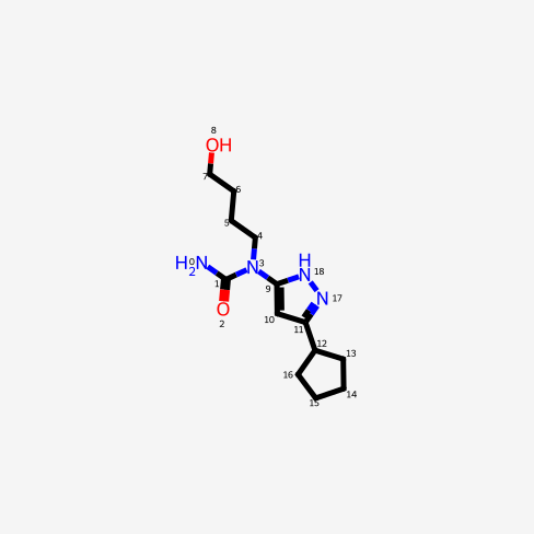 NC(=O)N(CCCCO)c1cc(C2CCCC2)n[nH]1